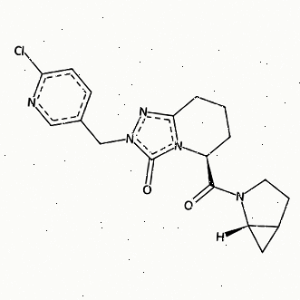 O=C([C@@H]1CCCc2nn(Cc3ccc(Cl)nc3)c(=O)n21)N1CCC2C[C@@H]21